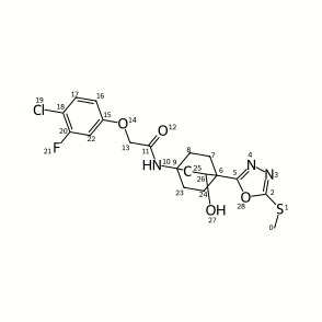 CSc1nnc(C23CCC(NC(=O)COc4ccc(Cl)c(F)c4)(CC2)CC3O)o1